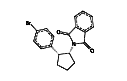 O=C1c2ccccc2C(=O)N1[C@@H]1CCC[C@@H]1c1ccc(Br)cc1